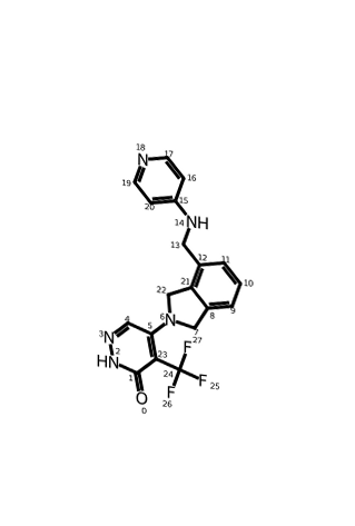 O=c1[nH]ncc(N2Cc3cccc(CNc4ccncc4)c3C2)c1C(F)(F)F